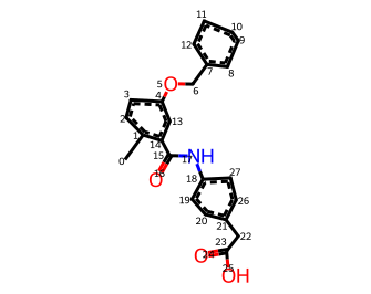 Cc1ccc(OCc2ccccc2)cc1C(=O)Nc1ccc(CC(=O)O)cc1